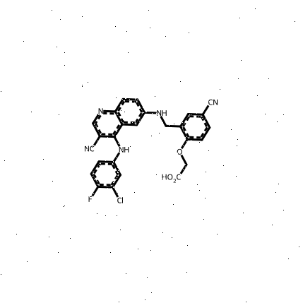 N#Cc1ccc(OCC(=O)O)c(CNc2ccc3ncc(C#N)c(Nc4ccc(F)c(Cl)c4)c3c2)c1